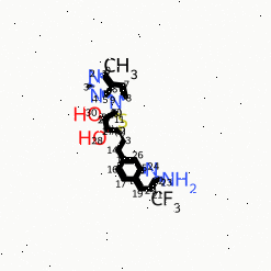 Cc1ncnc2c1ccn2[C@@H]1S[C@@H](CCc2ccc3cc(C(F)(F)F)c(N)nc3c2)[C@@H](O)[C@H]1O